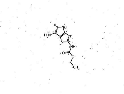 CCOC(=O)Nc1nc2[nH]nc(N)c2s1